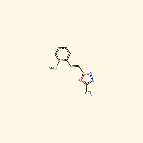 COc1ccccc1/C=C/c1nnc(C(Cl)(Cl)Cl)o1